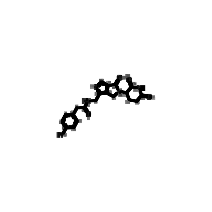 CC(C)c1ccc(CC(=O)NCc2scc3c2CN(C2CCC(=O)NC2=O)C3=O)cc1